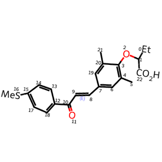 CCC(Oc1c(C)cc(/C=C/C(=O)c2ccc(SC)cc2)cc1C)C(=O)O